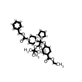 CCOC(=O)C1CCC(OC(C(=O)OC(C)(C)C)(N2CCCC2)N2CCN(C(=O)OCc3ccccc3)CC2)CC1